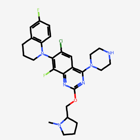 CN1CCCC1COc1nc(N2CCNCC2)c2cc(Cl)c(N3CCCc4cc(F)ccc43)c(F)c2n1